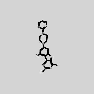 CCc1cc(N2CCN(c3ncccn3)CC2)nc2sc3c(Cl)nc(Cl)nc3c12